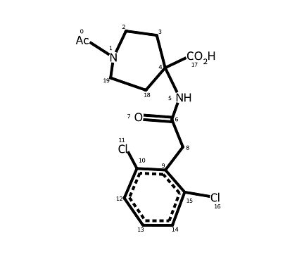 CC(=O)N1CCC(NC(=O)Cc2c(Cl)cccc2Cl)(C(=O)O)CC1